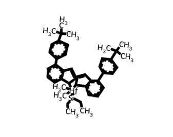 CC[Si](CC)=[Hf]([CH3])([CH3])([CH]1C=Cc2c(-c3ccc(C(C)(C)C)cc3)cccc21)[CH]1C=Cc2c(-c3ccc(C(C)(C)C)cc3)cccc21